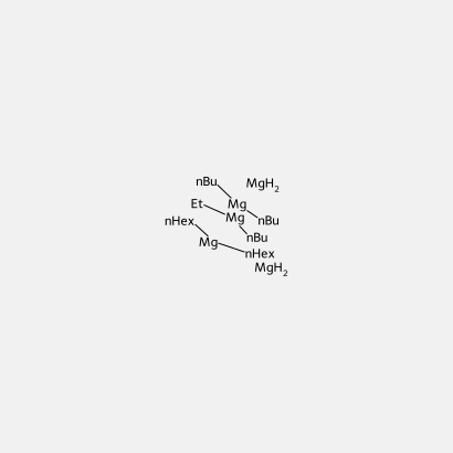 CCCCC[CH2][Mg][CH2]CCCCC.CCC[CH2][Mg][CH2]C.CCC[CH2][Mg][CH2]CCC.[MgH2].[MgH2]